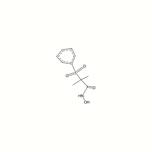 CC(C)(C(=O)NO)S(=O)(=O)c1ccccc1